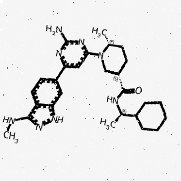 CNc1n[nH]c2cc(-c3cc(N4C[C@@H](C(=O)N[C@H](C)C5CCCCC5)CC[C@H]4C)nc(N)n3)ccc12